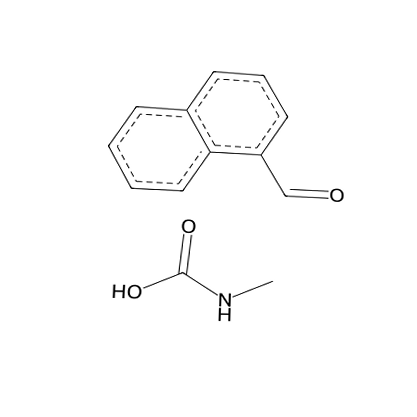 CNC(=O)O.O=Cc1cccc2ccccc12